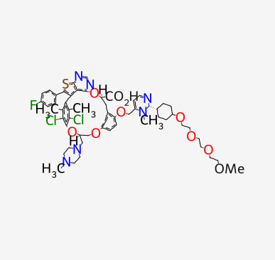 COCCOCCOCCO[C@H]1CC[C@H](C2N=CC=C(COc3ccc4cc3C[C@H](C(=O)O)Oc3ncnc5sc(-c6ccc(F)cc6)c(c35)-c3c(C)c(Cl)c(c(Cl)c3C)O[C@H](CN3CCN(C)CC3)CO4)N2C)CC1